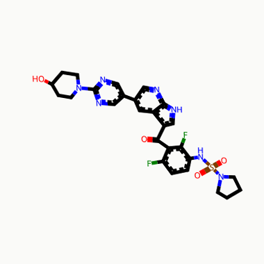 O=C(c1c(F)ccc(NS(=O)(=O)N2CCCC2)c1F)c1c[nH]c2ncc(-c3cnc(N4CCC(O)CC4)nc3)cc12